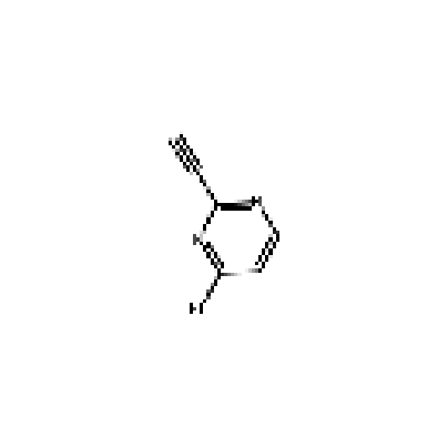 C#Cc1nccc(CC)n1